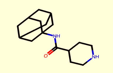 O=C(NC12CC3CC(CC(C3)C1)C2)C1CCNCC1